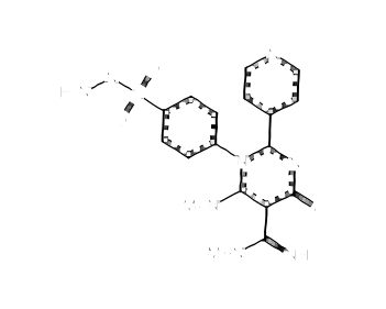 CNC(=N)c1c(NC)n(-c2ccc(S(=O)(=O)NN)cc2)c(-c2ccncc2)nc1=O